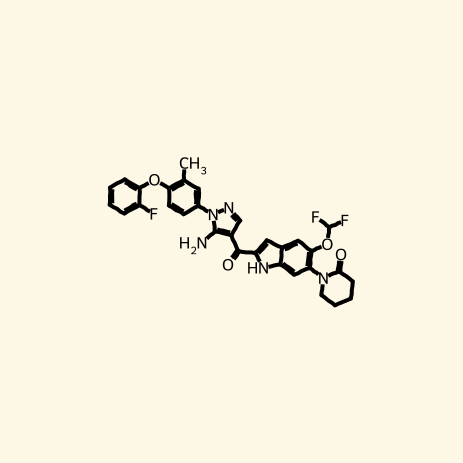 Cc1cc(-n2ncc(C(=O)c3cc4cc(OC(F)F)c(N5CCCCC5=O)cc4[nH]3)c2N)ccc1Oc1ccccc1F